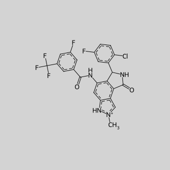 C[n+]1cc2c3c(c(NC(=O)c4cc(F)cc(C(F)(F)F)c4)cc2[nH]1)C(c1cc(F)ccc1Cl)NC3=O